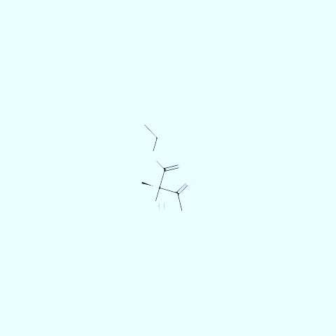 CCOC(=O)[C@@](C)(O)C(C)=O